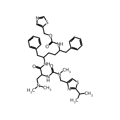 CC(C)c1nc(CN(C)C(=O)NC(CN(C)C)C(=O)NC(CCC(Cc2ccccc2)NC(=O)OCc2cncs2)Cc2ccccc2)cs1